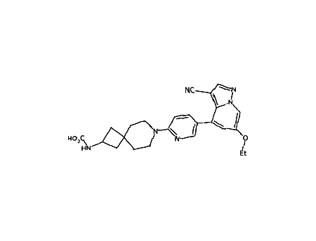 CCOc1cc(-c2ccc(N3CCC4(CC3)CC(NC(=O)O)C4)nc2)c2c(C#N)cnn2c1